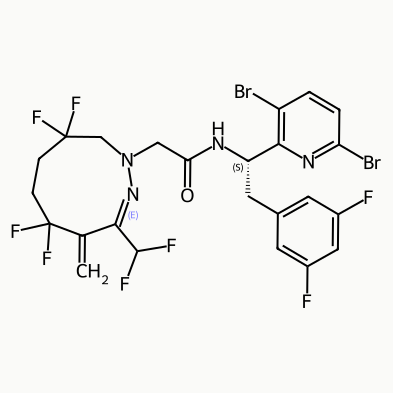 C=C1/C(C(F)F)=N\N(CC(=O)N[C@@H](Cc2cc(F)cc(F)c2)c2nc(Br)ccc2Br)CC(F)(F)CCC1(F)F